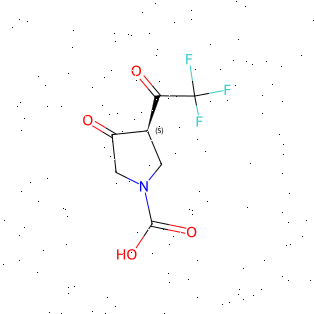 O=C1CN(C(=O)O)C[C@@H]1C(=O)C(F)(F)F